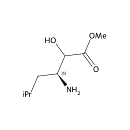 COC(=O)C(O)[C@@H](N)CC(C)C